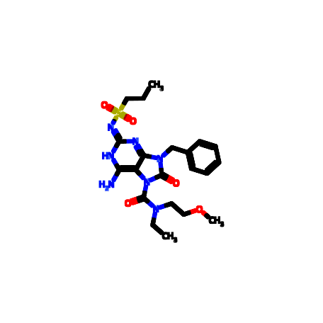 CCCS(=O)(=O)N=c1nc2c(c(N)[nH]1)n(C(=O)N(CC)CCOC)c(=O)n2Cc1ccccc1